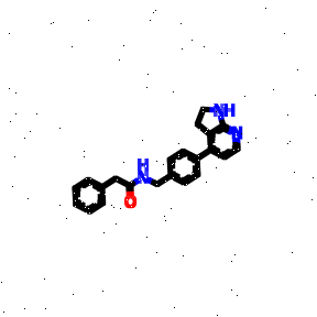 O=C(Cc1ccccc1)NCc1ccc(-c2ccnc3c2CCN3)cc1